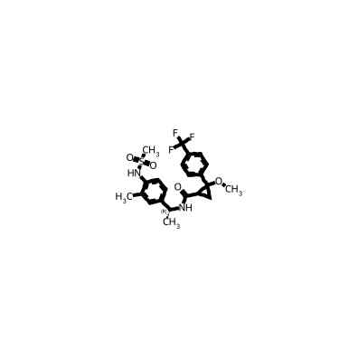 COC1(c2ccc(C(F)(F)F)cc2)CC1C(=O)N[C@H](C)c1ccc(NS(C)(=O)=O)c(C)c1